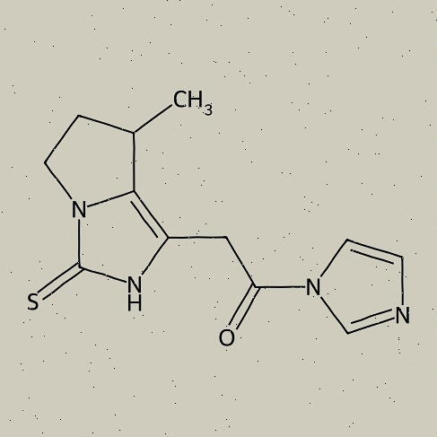 CC1CCn2c1c(CC(=O)n1ccnc1)[nH]c2=S